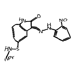 CCCNSc1ccc2c(c1)/C(=N/Nc1ccccc1N=O)C(=O)N2